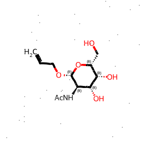 C=CCO[C@@H]1O[C@H](CO)[C@H](O)[C@H](O)[C@H]1NC(C)=O